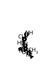 Cc1nc(C2CC2)ncc1-c1cc2cnc(Nc3ccc(N4CCNCC4)c(Cl)c3)nc2n(C2=NC=CC2)c1=O